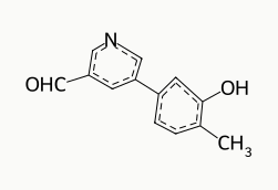 Cc1ccc(-c2cncc(C=O)c2)cc1O